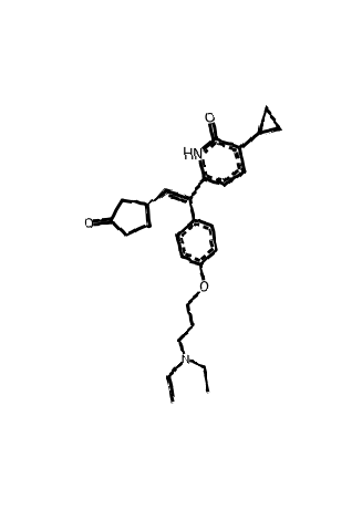 CCN(CC)CCCOc1ccc(/C(=C\[C@H]2CCC(=O)C2)c2ccc(C3CC3)c(=O)[nH]2)cc1